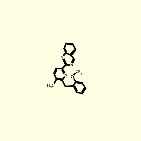 Cc1ccc(-c2ncc3ccccc3n2)nc1Cc1ccccc1OC(F)(F)F